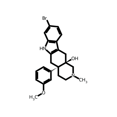 COc1cccc([C@@]23CCN(C)C[C@@]2(O)Cc2c([nH]c4cc(Br)ccc24)C3)c1